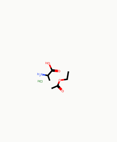 CC(N)C(=O)O.CCOC(C)=O.Cl